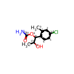 Cc1cc(Cl)ccc1C(OC(N)=O)C(C)O